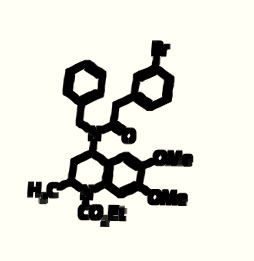 CCOC(=O)N1c2cc(OC)c(OC)cc2C(N(Cc2ccccc2)C(=O)Cc2cccc(Br)c2)CC1C